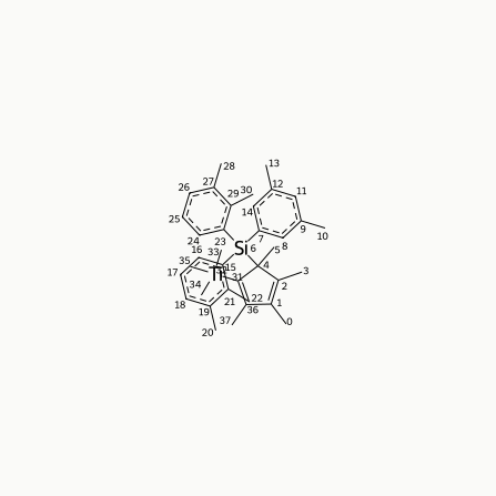 CC1=C(C)C(C)([Si](c2cc(C)cc(C)c2)(c2cccc(C)c2C)c2cccc(C)c2C)[C]([Ti]([CH3])([CH3])[CH3])=C1C